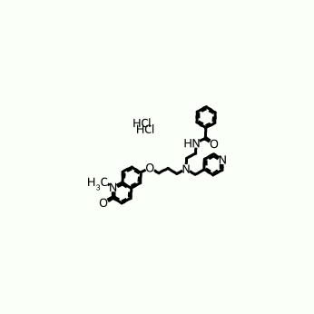 Cl.Cl.Cn1c(=O)ccc2cc(OCCCN(CCNC(=O)c3ccccc3)Cc3ccncc3)ccc21